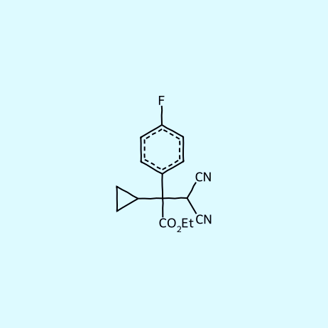 CCOC(=O)C(c1ccc(F)cc1)(C(C#N)C#N)C1CC1